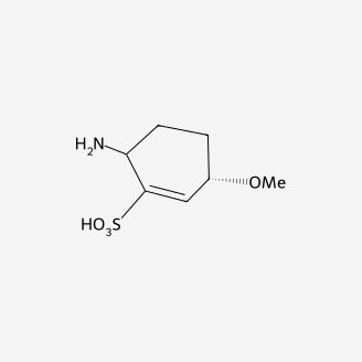 CO[C@@H]1C=C(S(=O)(=O)O)C(N)CC1